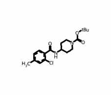 Cc1ccc(C(=O)NC2CCN(C(=O)OC(C)(C)C)CC2)c(Cl)c1